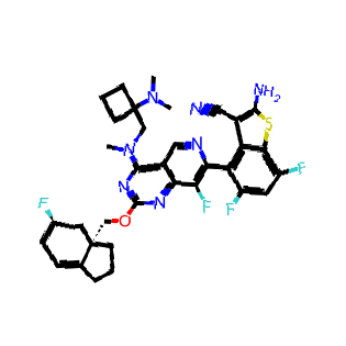 CN(CC1(N(C)C)CCC1)c1nc(OC[C@]23CCCC2=CC[C@@H](F)C3)nc2c(F)c(-c3c(F)cc(F)c4sc(N)c(C#N)c34)ncc12